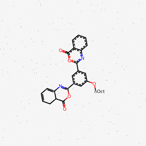 CCCCCCCCOc1cc(C2=NC3=CC=CCC3C(=O)O2)cc(-c2nc3ccccc3c(=O)o2)c1